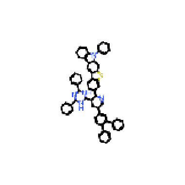 C1=CCCC(C2=NC(C3=CCCC=C3)NC(C3CC(c4ccc(C5=CCCC=C5)c(-c5ccccc5)c4)C=NC3C3C=C4SC5CC6C(C=C5C4=CC3)C3=C(CCCC3)N6C3=CCCCC3)N2)=C1